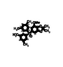 COc1cc(P(=O)(c2cc(C)cc(C)c2)c2cc(C)cc(C)c2)cc2c1OC(C)(C)O2